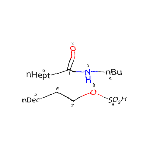 CCCCCCCC(=O)NCCCC.CCCCCCCCCCCCOS(=O)(=O)O